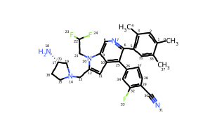 Cc1cc(C)c(-c2ncc3c(cc(CN4CC[C@H](N)C4)n3CC(F)F)c2-c2ccc(C#N)c(F)c2)cc1C